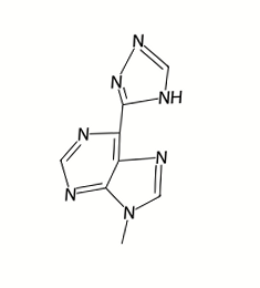 Cn1cnc2c(-c3nnc[nH]3)ncnc21